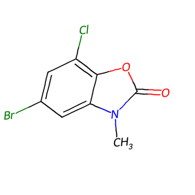 Cn1c(=O)oc2c(Cl)cc(Br)cc21